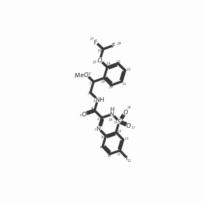 COC(CNC(=O)C1=Nc2ccc(I)cc2S(=O)(=O)N1)c1ccccc1OC(F)F